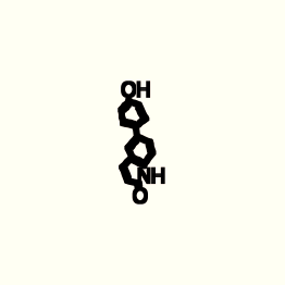 O=c1ccc2cc(-c3ccc(O)cc3)ccc2[nH]1